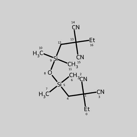 CCC(C#N)(C#N)C[Si](C)(C)O[Si](C)(C)CC(C#N)(C#N)CC